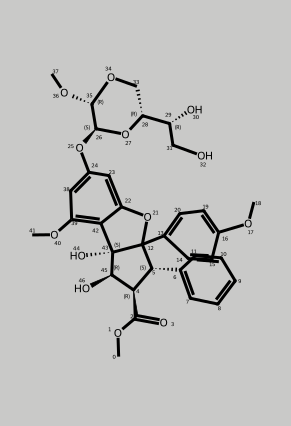 COC(=O)[C@@H]1[C@@H](c2ccccc2)C2(c3ccc(OC)cc3)Oc3cc(O[C@@H]4O[C@@H]([C@H](O)CO)CO[C@H]4OC)cc(OC)c3[C@]2(O)[C@@H]1O